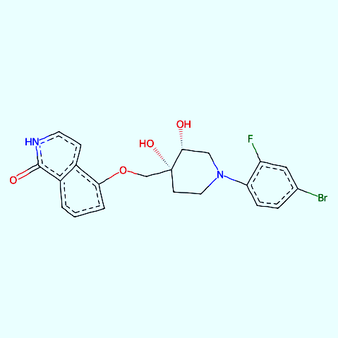 O=c1[nH]ccc2c(OC[C@]3(O)CCN(c4ccc(Br)cc4F)C[C@H]3O)cccc12